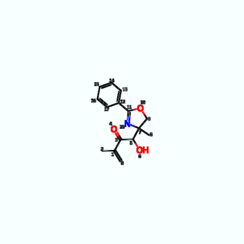 C=C(C)C(=O)C(O)C1(C)COC(c2ccccc2)=N1